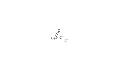 [Cl-].[Cl-].[O]=[Ge+2]